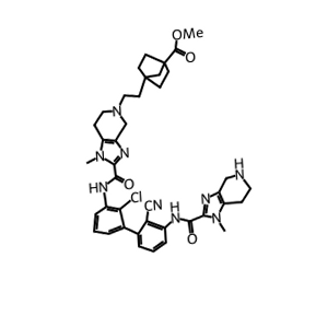 COC(=O)C12CCC(CCN3CCc4c(nc(C(=O)Nc5cccc(-c6cccc(NC(=O)c7nc8c(n7C)CCNC8)c6C#N)c5Cl)n4C)C3)(CC1)C2